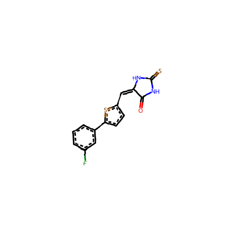 O=C1NC(=S)NC1=Cc1ccc(-c2cccc(F)c2)s1